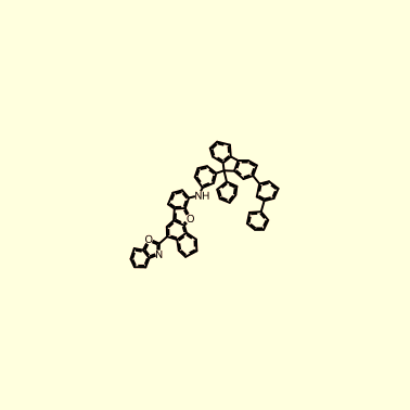 c1ccc(-c2cccc(-c3ccc4c(c3)C(c3ccccc3)(c3cccc(Nc5cccc6c5oc5c7ccccc7c(-c7nc8ccccc8o7)cc65)c3)c3ccccc3-4)c2)cc1